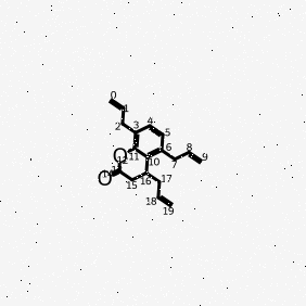 C=CCc1ccc(CC=C)c2c1OC(=O)CC2CC=C